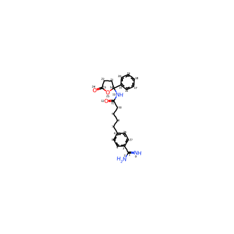 N=C(N)c1ccc(CCCCC(=O)NC2(c3ccccc3)CCC(=O)O2)cc1